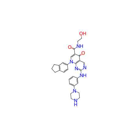 O=C(NCCO)c1cn(-c2ccc3c(c2)CCC3)c2nc(Nc3cccc(N4CCNCC4)c3)ncc2c1=O